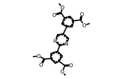 COC(=O)c1cc(C(=O)OC)cc(-c2cnc(-c3cc(C(=O)OC)cc(C(=O)OC)c3)nc2)c1